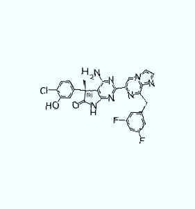 C[C@]1(c2ccc(Cl)c(O)c2)C(=O)Nc2nc(-c3cn4ccnc4c(Cc4cc(F)cc(F)c4)n3)nc(N)c21